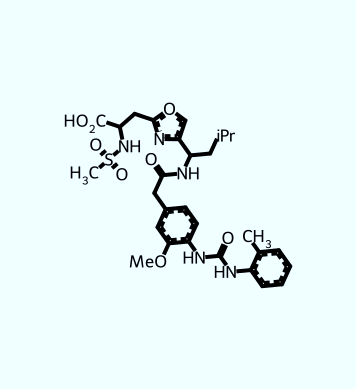 COc1cc(CC(=O)NC(CC(C)C)c2coc(CC(NS(C)(=O)=O)C(=O)O)n2)ccc1NC(=O)Nc1ccccc1C